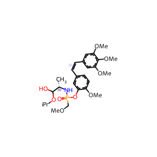 COCP(=O)(N[C@@H](C)C(O)OC(C)C)Oc1cc(/C=C\c2cc(OC)c(OC)c(OC)c2)ccc1OC